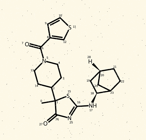 CC1(C2CCN(C(=O)c3ccsc3)CC2)SC(N[C@H]2C[C@@H]3CCC2C3)=NC1=O